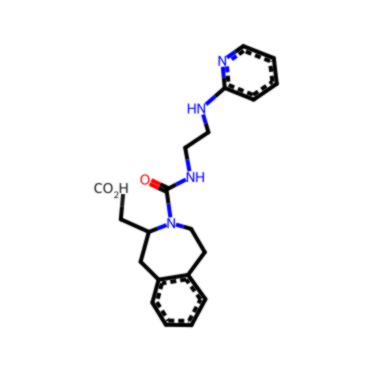 O=C(O)CC1Cc2ccccc2CCN1C(=O)NCCNc1ccccn1